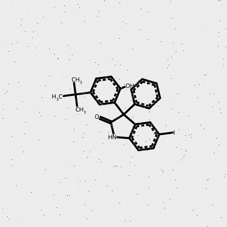 CC(C)(C)c1ccc(O)c(C2(c3ccccc3)C(=O)Nc3ccc(I)cc32)c1